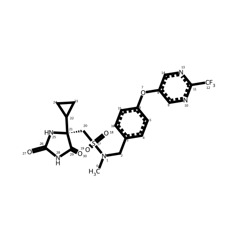 CN(Cc1ccc(Oc2cnc(C(F)(F)F)nc2)cc1)S(=O)(=O)C[C@@]1(C2CC2)NC(=O)NC1=O